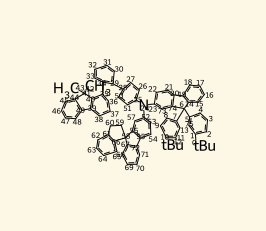 CC(C)(C)c1cccc(C2(c3cccc(C(C)(C)C)c3)c3ccccc3-c3ccc(N(c4ccc(-c5ccccc5-c5cccc6c5C(C)(C)c5ccccc5-6)cc4)c4ccc5c(c4)C4(CCc6ccccc64)c4ccccc4-5)cc32)c1